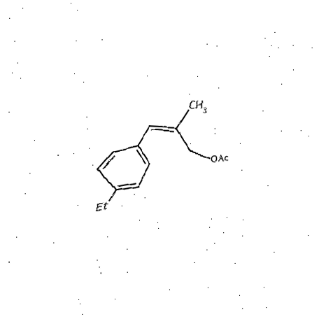 CCc1ccc(C=C(C)COC(C)=O)cc1